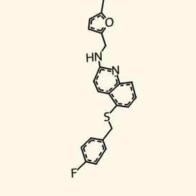 Cc1ccc(CNc2ccc3c(SCc4ccc(F)cc4)cccc3n2)o1